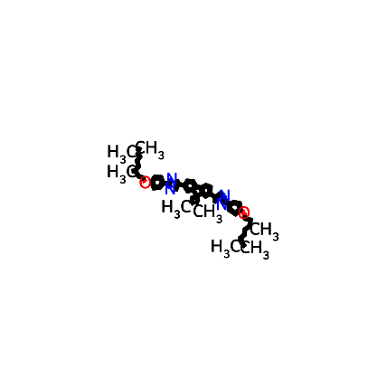 CCCC1(CCC)c2cc(-c3cnc(-c4ccc(OCCC(C)CCC=C(C)C)cc4)nc3)ccc2-c2ccc(-c3cnc(-c4ccc(OCCC(C)CCC=C(C)C)cc4)nc3)cc21